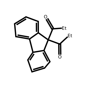 CCC(=O)C1(C(=O)CC)c2ccccc2-c2ccccc21